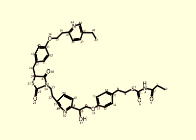 CCC(=O)NC(=O)SCCc1ccc(OCC(O)c2ccc(CCN3C(=O)SC(Cc4ccc(OCCc5ccc(CC)cn5)cc4)C3=O)cn2)cc1